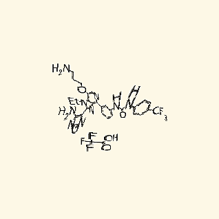 CCn1c(-c2nonc2N)nc2c(-c3cccc(NC(=O)Nc4ccc(C(F)(F)F)cc4)c3)ncc(OCCCN)c21.O=C(O)C(F)(F)F